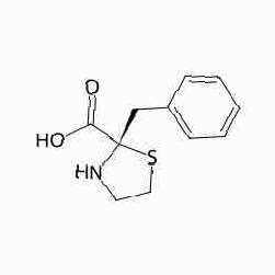 O=C(O)[C@@]1(Cc2ccccc2)NCCS1